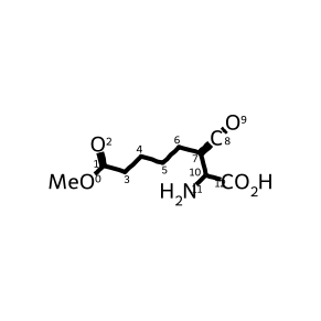 COC(=O)CCCCC(=C=O)C(N)C(=O)O